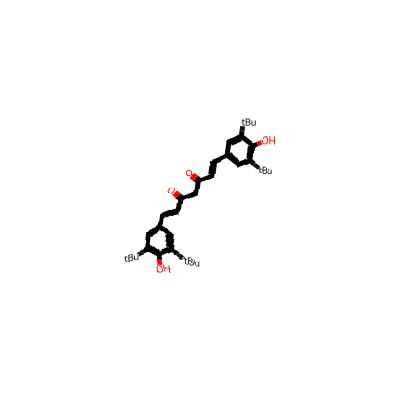 CC(C)(C)c1cc(C=CC(=O)CC(=O)C=Cc2cc(C(C)(C)C)c(O)c(C(C)(C)C)c2)cc(C(C)(C)C)c1O